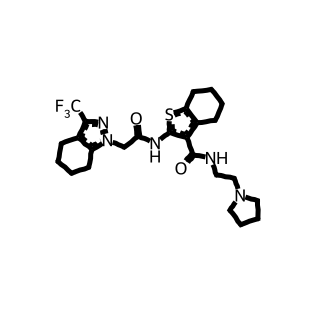 O=C(Cn1nc(C(F)(F)F)c2c1CCCC2)Nc1sc2c(c1C(=O)NCCN1CCCC1)CCCC2